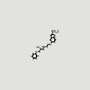 CCOC(=O)c1cc2cc(OCCNCC(O)COc3ccccc3)ccc2s1